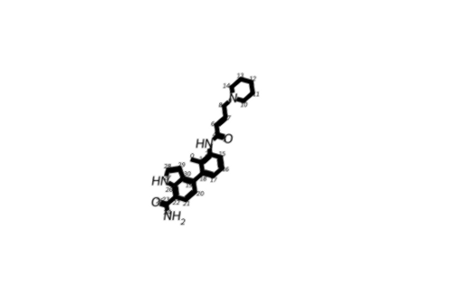 Cc1c(NC(=O)/C=C/CN2CCCCC2)cccc1-c1ccc(C(N)=O)c2[nH]ccc12